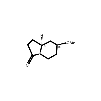 CO[C@H]1CCN2C(=O)CC[C@H]2C1